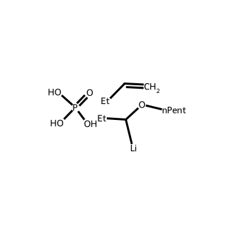 C=CCC.O=P(O)(O)O.[Li][CH](CC)OCCCCC